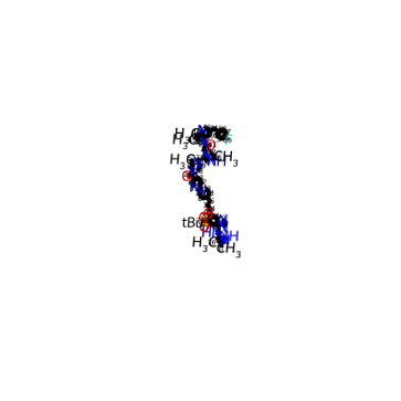 Cc1n[nH]c(Nc2ncnc3cc(OCCCC4CCN(c5ccc(C(=O)N6CCN(C[C@H]7CN[C@H](C)CN7CC(=O)N7CC(C)(C)c8ncc(Cc9ccc(F)cc9)cc87)C(C)C6)cn5)CC4)c(S(=O)(=O)C(C)(C)C)cc23)c1C